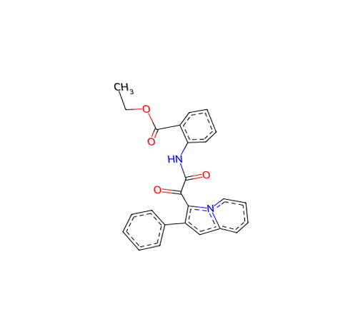 CCOC(=O)c1ccccc1NC(=O)C(=O)c1c(-c2ccccc2)cc2ccccn12